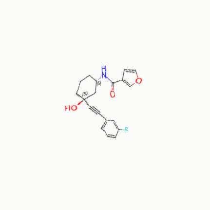 O=C(N[C@H]1CCC[C@@](O)(C#Cc2cccc(F)c2)C1)c1ccoc1